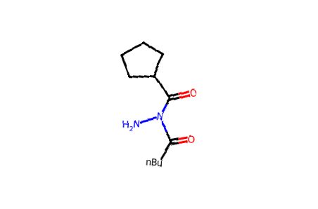 CCCCC(=O)N(N)C(=O)C1CCCC1